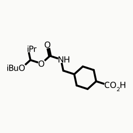 CC(C)COC(OC(=O)NCC1CCC(C(=O)O)CC1)C(C)C